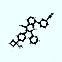 N#Cc1cccc(-c2nccc3c(=O)c(-c4ccc(C5(N)CCC5)cc4)c(-c4ccccc4)oc23)c1